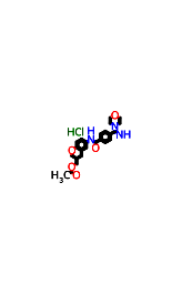 CC(=O)OCC1COc2ccc(NC(=O)c3ccc(C(=N)N4CCOCC4)cc3)cc2C1.Cl